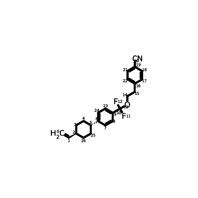 C=C[C@H]1CC[C@H](c2ccc(C(F)(F)OCCc3ccc(C#N)cc3)cc2)CC1